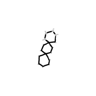 C1CCC2(CC1)CCC1(CC2)COOOO1